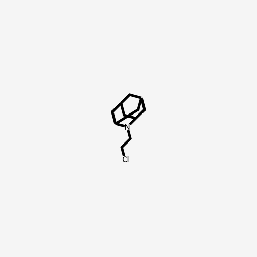 ClCCN1C2CC3CC(C2)CC1C3